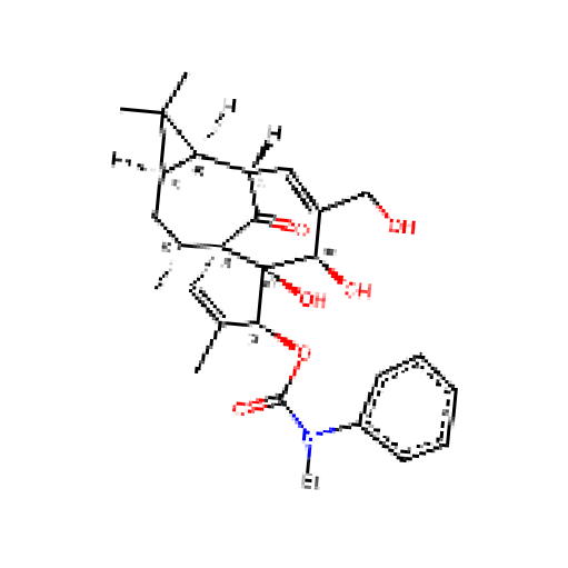 CCN(C(=O)O[C@H]1C(C)=C[C@]23C(=O)[C@@H](C=C(CO)[C@@H](O)[C@]12O)[C@H]1[C@@H](C[C@H]3C)C1(C)C)c1ccccc1